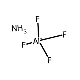 N.[F][Al-]([F])([F])[F]